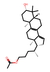 CC(=O)OCCC[C@@H](C)[C@H]1CC=C2C3=C(CC[C@@]21C)[C@@]1(C)CC[C@H](O)C(C)(C)[C@@H]1CC3